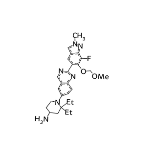 CCC1(CC)CC(N)CCN1c1ccc2nc(-c3cc4cn(C)nc4c(F)c3OCOC)ncc2c1